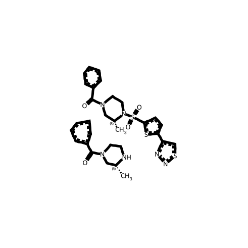 C[C@@H]1CN(C(=O)c2ccccc2)CCN1.C[C@@H]1CN(C(=O)c2ccccc2)CCN1S(=O)(=O)c1ccc(-c2csnn2)s1